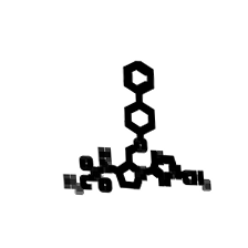 Cn1cnc(N2CCC(NS(C)(=O)=O)C2COC2CCC(c3ccccc3)CC2)n1